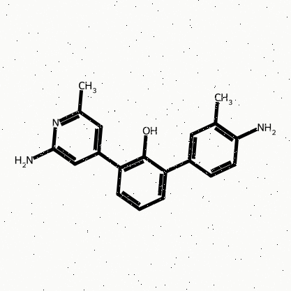 Cc1cc(-c2cccc(-c3ccc(N)c(C)c3)c2O)cc(N)n1